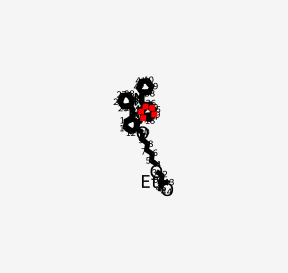 CCC1(COCCCCCCOc2cccc3c2c2ccccc2n3-c2ccccc2N(c2ccccc2)c2ccccc2)COC1